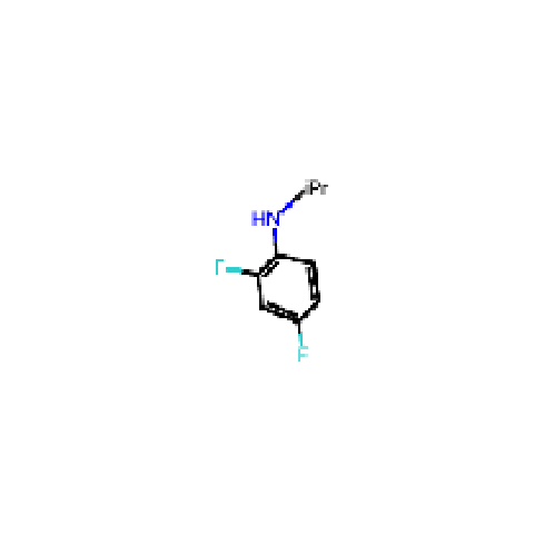 CC(C)Nc1ccc(F)cc1F